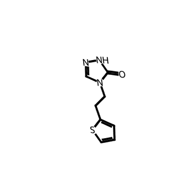 O=c1[nH]ncn1CCc1cccs1